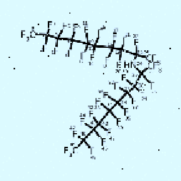 FC(F)(F)C(F)(F)C(F)(F)C(F)(F)C(F)(F)C(F)(F)C(F)(F)C(F)(F)C(F)(NC(F)(C(F)(F)F)C(F)(F)C(F)(F)C(F)(F)C(F)(F)C(F)(F)C(F)(F)C(F)(F)C(F)(F)F)C(F)(F)F